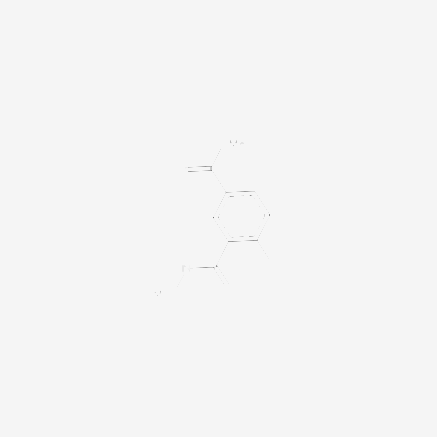 CONC(=O)c1cc(C(=O)OC)ccc1O